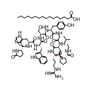 CCCCCCCCCCCCCCCC(=O)O.CCNC(=O)[C@@H]1CCCN1C(=O)[C@H](CCCNC(=N)N)NC(=O)[C@H](CC(C)C)NC(=O)[C@@H](CC(C)C)NC(=O)[C@H](Cc1ccc(O)cc1)NC(=O)[C@H](CO)NC(=O)[C@H](Cc1c[nH]c2ccccc12)NC(=O)[C@H](Cc1cnc[nH]1)NC(=O)[C@@H]1CCC(=O)N1